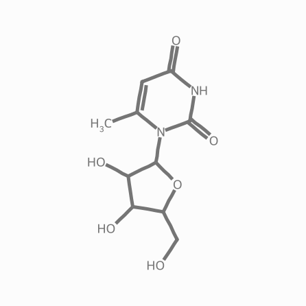 Cc1cc(=O)[nH]c(=O)n1C1OC(CO)C(O)C1O